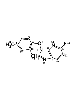 Cc1ccc(On2cnc3cnc(F)nc32)c(C)c1